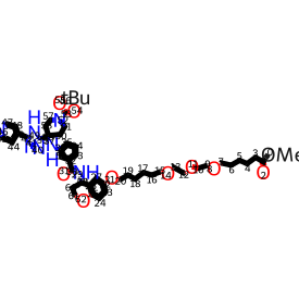 COC(=O)CCCCCOCCOCCOCCCCCCOc1ccc2c(c1)[C@H](NC(=O)c1cccc(NC3(c4nnc(-c5ccncc5)[nH]4)CCN(C(=O)OC(C)(C)C)CC3)c1)CCO2